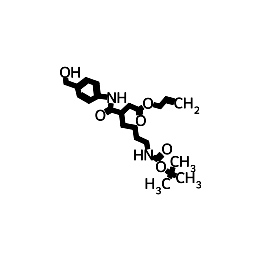 C=CCOC(=O)CC(CCCCNC(=O)OC(C)(C)C)C(=O)Nc1ccc(CO)cc1